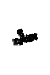 CCCON(CCC)C(=O)CN1C[C@H](c2ccc3c(c2)OCO3)[C@@H](C(=O)O)[C@@H]1CCc1ccncn1